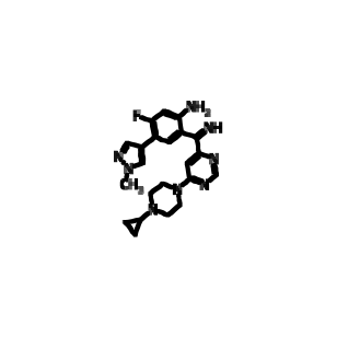 Cn1cc(-c2cc(C(=N)c3cc(N4CCN(C5CC5)CC4)ncn3)c(N)cc2F)cn1